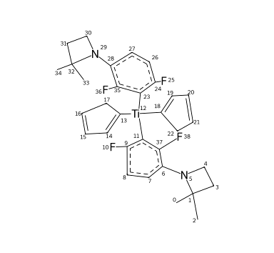 CC1(C)CCN1c1ccc(F)[c]([Ti]([C]2=CC=CC2)([C]2=CC=CC2)[c]2c(F)ccc(N3CCC3(C)C)c2F)c1F